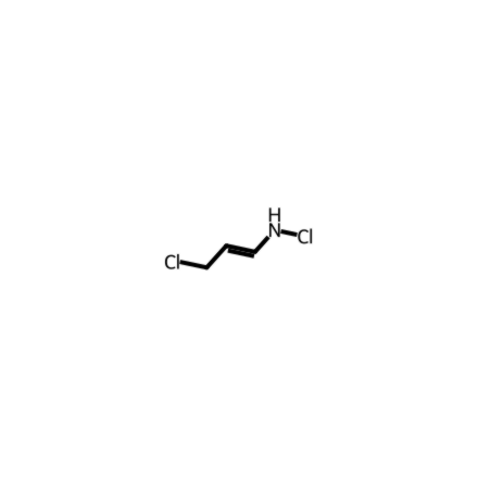 ClCC=CNCl